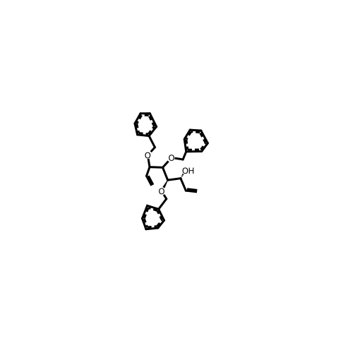 C=CC(OCc1ccccc1)C(OCc1ccccc1)[C@H](OCc1ccccc1)[C@H](O)C=C